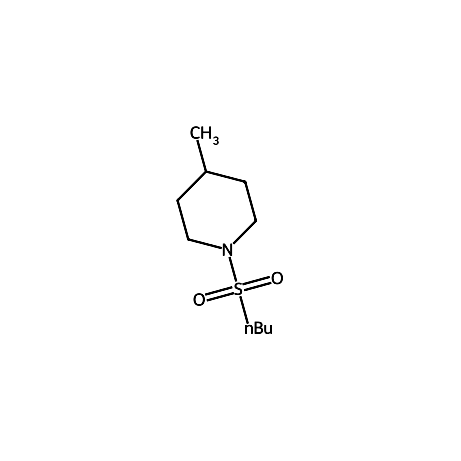 CCCCS(=O)(=O)N1CCC(C)CC1